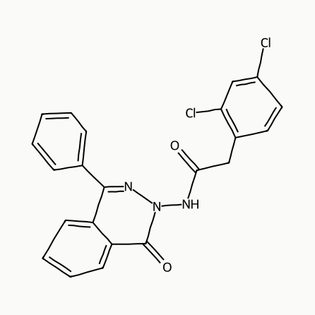 O=C(Cc1ccc(Cl)cc1Cl)Nn1nc(-c2ccccc2)c2ccccc2c1=O